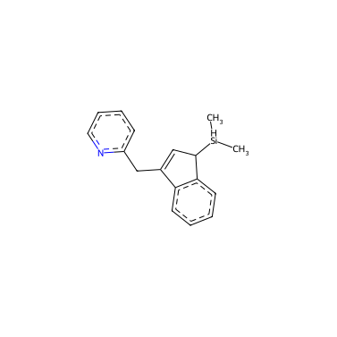 C[SiH](C)C1C=C(Cc2ccccn2)c2ccccc21